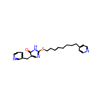 O=c1[nH]c(SCCCCCCCCc2ccncc2)ncc1Cc1cccnc1